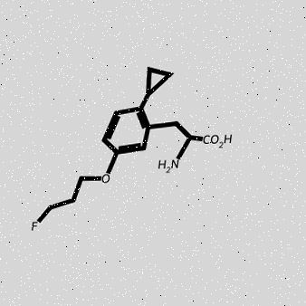 NC(Cc1cc(OCCCF)ccc1C1CC1)C(=O)O